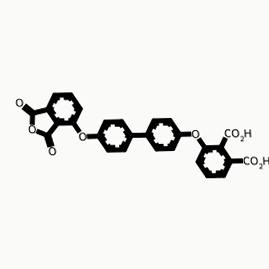 O=C(O)c1cccc(Oc2ccc(-c3ccc(Oc4cccc5c4C(=O)OC5=O)cc3)cc2)c1C(=O)O